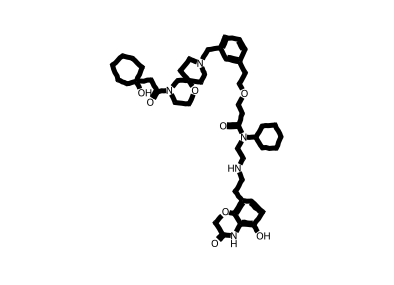 O=C1COc2c(CCNCCN(C(=O)CCOCCc3cccc(CN4CCC5(CC4)CN(C(=O)CC4(O)CCCCCC4)CCO5)c3)C3CCCCC3)ccc(O)c2N1